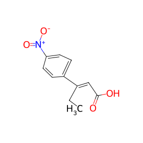 CCC(=CC(=O)O)c1ccc([N+](=O)[O-])cc1